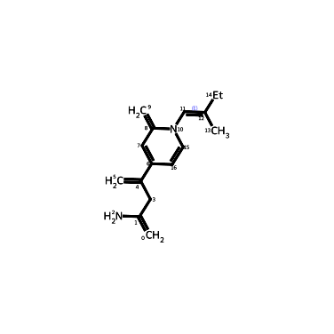 C=C(N)CC(=C)C1=CC(=C)N(/C=C(\C)CC)C=C1